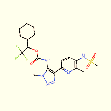 Cc1nc(-c2nnn(C)c2NC(=O)OC(C2CCCCC2)C(F)(F)F)ccc1NS(C)(=O)=O